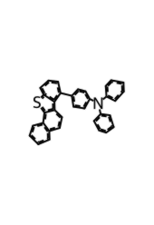 c1ccc(N(c2ccccc2)c2ccc(-c3cccc4sc5c6ccccc6ccc5c34)cc2)cc1